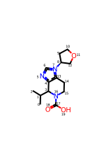 CC(C)C1c2ncn([C@H]3CCOC3)c2CCN1C(=O)O